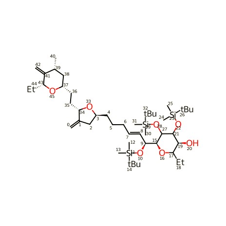 C=C1C[C@H](CCC/C=C/[C@H](O[Si](C)(C)C(C)(C)C)[C@@H]2OC(CC)[C@H](O)C(O[Si](C)(C)C(C)(C)C)C2O[Si](C)(C)C(C)(C)C)O[C@H]1CC[C@H]1C[C@@H](C)C(=C)[C@@H](CC)O1